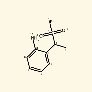 CC(C)S(=O)(=O)C(C)c1ccccc1N